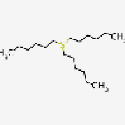 CCCCCC[S+](CCCCCC)CCCCCC